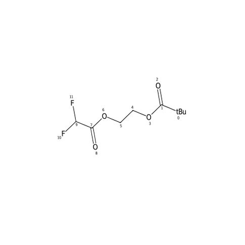 CC(C)(C)C(=O)OCCOC(=O)C(F)F